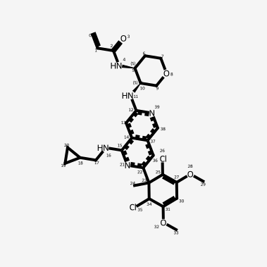 C=CC(=O)N[C@H]1CCOC[C@H]1Nc1cc2c(NCC3CC3)nc(C3(C)C(Cl)=C(OC)C=C(OC)C3Cl)cc2cn1